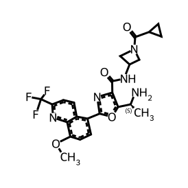 COc1ccc(-c2nc(C(=O)NC3CN(C(=O)C4CC4)C3)c([C@H](C)N)o2)c2ccc(C(F)(F)F)nc12